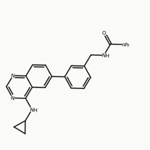 CCCC(=O)NCc1cccc(-c2ccc3ncnc(NC4CC4)c3c2)c1